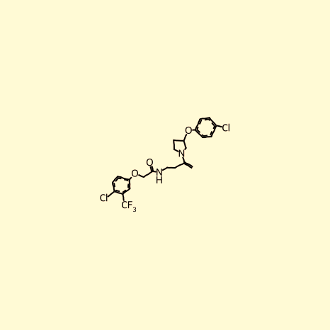 C=C(CCNC(=O)COc1ccc(Cl)c(C(F)(F)F)c1)N1CCC(Oc2ccc(Cl)cc2)C1